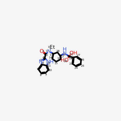 CCN(C(=O)c1nc2ccccc2[nH]1)C1CCCC(NC(O)(O)c2ccccc2)C1